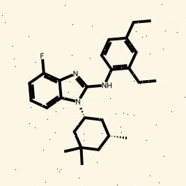 CCc1ccc(Nc2nc3c(F)cccc3n2[C@@H]2C[C@H](C)CC(C)(C)C2)c(CC)c1